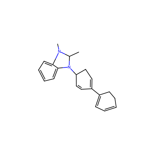 CC1N(C)c2ccccc2N1C1C=CC(C2=CC=CCC2)=CC1